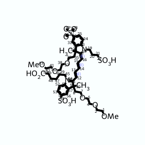 COCCOCCOCCC1(C)C(/C=C/C=C/C=C2/N(CCCS(=O)(=O)O)c3ccc(S(=O)(=O)[O-])cc3C2(C)CCOCCOCCOC)=[N+](CCCCCC(=O)O)c2ccc(S(=O)(=O)O)cc21